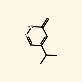 C=C1C=C(C(C)C)C=NN1